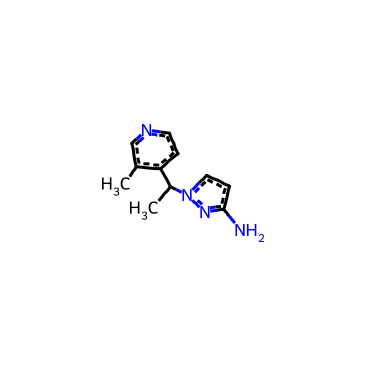 Cc1cnccc1C(C)n1ccc(N)n1